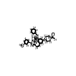 COc1cccc(C2=N[N+]3(C#N)C(=N2)C=Cc2cc(N4CCN(C(C)=O)CC4)cc(NCc4ccccc4)c23)c1